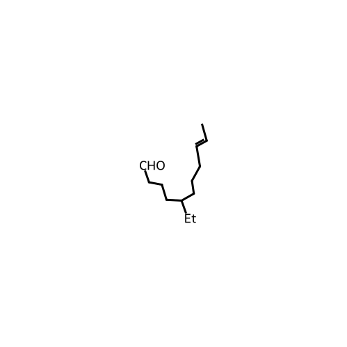 CC=CCCCC(CC)CCCC=O